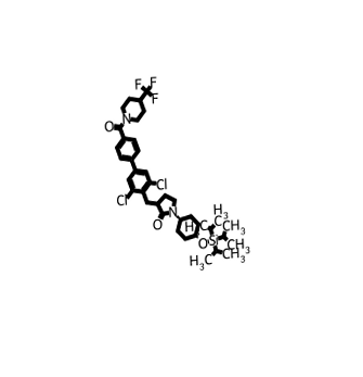 CC(C)[Si](O[C@H]1CC[C@H](N2CCC(Cc3c(Cl)cc(-c4ccc(C(=O)N5CCC(C(F)(F)F)CC5)cc4)cc3Cl)C2=O)CC1)(C(C)C)C(C)C